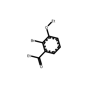 CCOc1cccc(C(=O)CC)c1Br